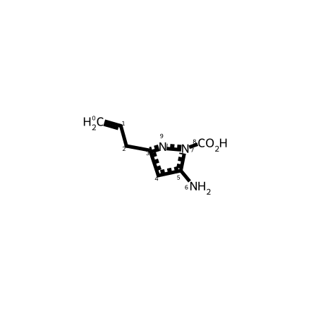 C=CCc1cc(N)n(C(=O)O)n1